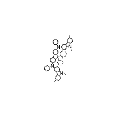 CCn1c2ccc(C)cc2c2cc(N(c3ccccc3)c3ccc4c(c3)C3(C5=C(CCC=C5)C5=C3C=CCCC5)c3cc(N(c5ccccc5)c5ccc6c(c5)c5cc(C)ccc5n6CC)ccc3-4)ccc21